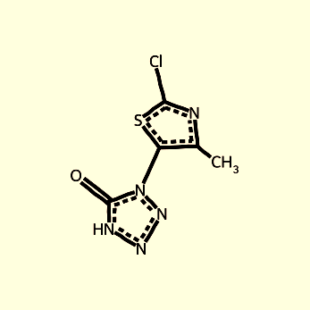 Cc1nc(Cl)sc1-n1nn[nH]c1=O